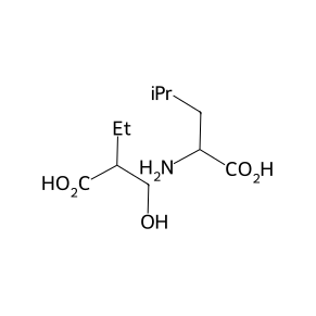 CC(C)CC(N)C(=O)O.CCC(CO)C(=O)O